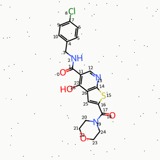 O=C(NCc1ccc(Cl)cc1)c1cnc2sc(C(=O)N3CCOCC3)cc2c1O